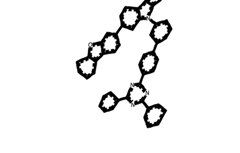 c1ccc(-c2nc(-c3ccccc3)nc(-c3ccc(-c4cccc(-n5c6ccccc6c6ccc(-c7ccc8c(c7)oc7ccccc78)cc65)c4)cc3)n2)cc1